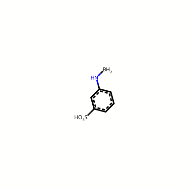 BNc1cccc(S(=O)(=O)O)c1